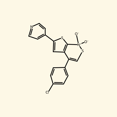 [O-][N+]1([O-])SC=C(c2ccc(Cl)cc2)c2cc(-c3ccncc3)sc21